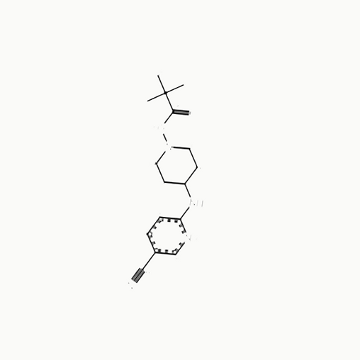 CC(C)(C)C(=O)ON1CCC(Nc2ccc(C#N)cn2)CC1